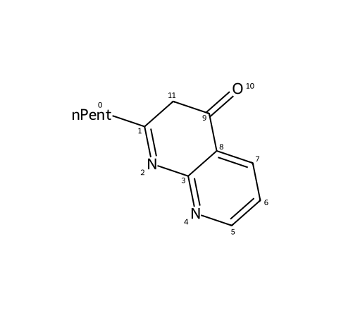 CCCCCC1=Nc2ncccc2C(=O)C1